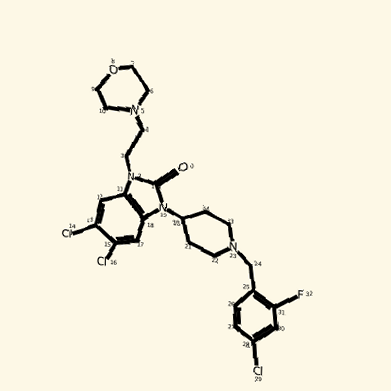 O=c1n(CCN2CCOCC2)c2cc(Cl)c(Cl)cc2n1C1CCN(Cc2ccc(Cl)cc2F)CC1